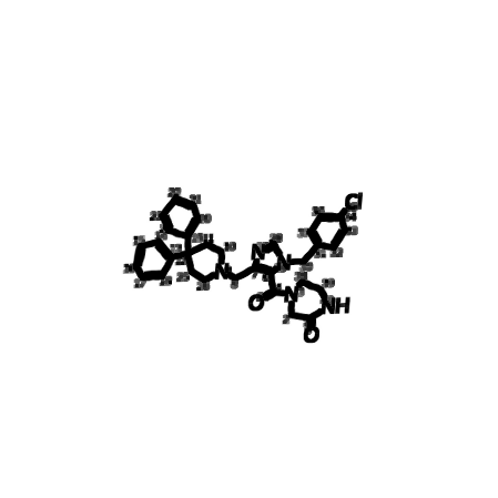 O=C1CN(C(=O)c2c(CN3CCC(c4ccccc4)(c4ccccc4)CC3)ncn2Cc2ccc(Cl)cc2)CCN1